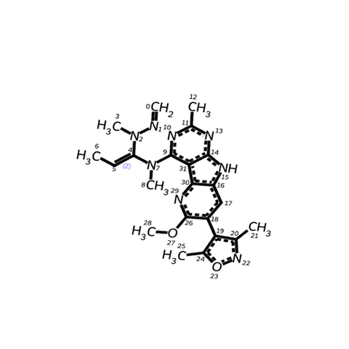 C=NN(C)/C(=C\C)N(C)c1nc(C)nc2[nH]c3cc(-c4c(C)noc4C)c(OC)nc3c12